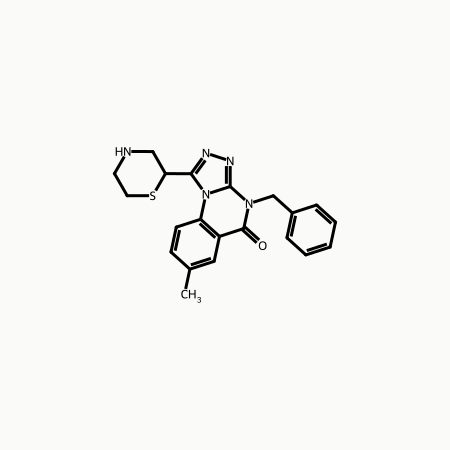 Cc1ccc2c(c1)c(=O)n(Cc1ccccc1)c1nnc(C3CNCCS3)n21